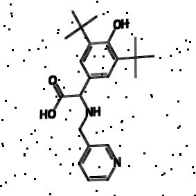 CC(C)(C)c1cc(C(NCc2cccnc2)C(=O)O)cc(C(C)(C)C)c1O